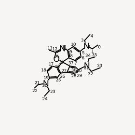 CCN(CC)c1ccc2c(c1)N=C(C)OC21c2ccc(N(CC)CC)cc2-c2ccc(N(CC)CC)cc21